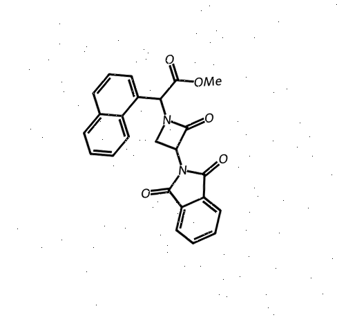 COC(=O)C(c1cccc2ccccc12)N1CC(N2C(=O)c3ccccc3C2=O)C1=O